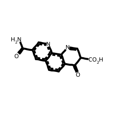 NC(=O)c1cnc2c3c(ccc2c1)C(=O)C(C(=O)O)C=N3